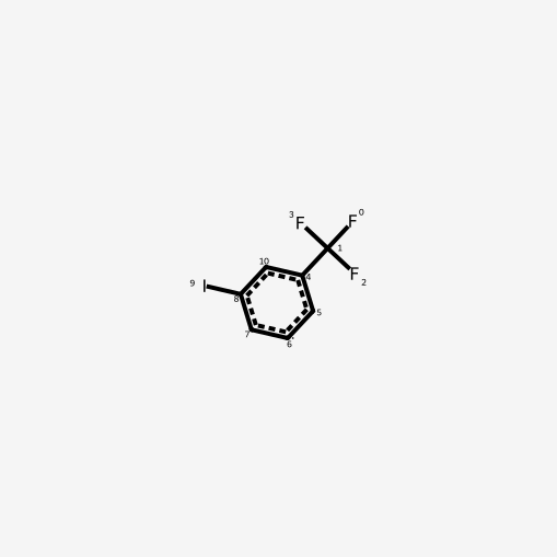 FC(F)(F)c1c[c]cc(I)c1